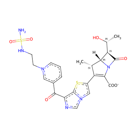 C[C@@H](O)[C@H]1C(=O)N2C(C(=O)[O-])=C(c3cn4cnc(C(=O)c5ccc[n+](CCNS(N)(=O)=O)c5)c4s3)[C@H](C)[C@H]12